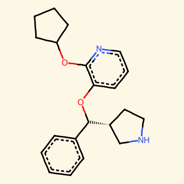 c1ccc(C(Oc2cccnc2OC2CCCC2)[C@@H]2CCNC2)cc1